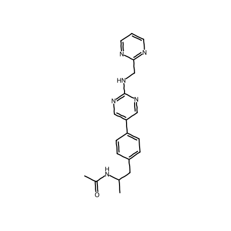 CC(=O)NC(C)Cc1ccc(-c2cnc(NCc3ncccn3)nc2)cc1